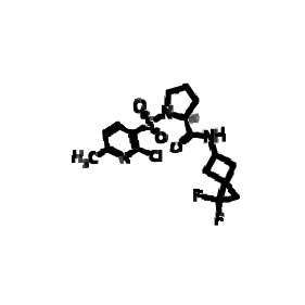 Cc1ccc(S(=O)(=O)N2CCC[C@H]2C(=O)NC2CC3(C2)CC3(F)F)c(Cl)n1